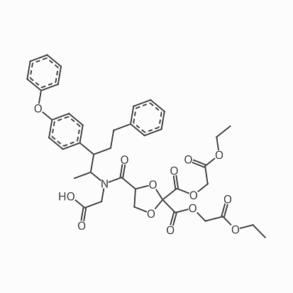 CCOC(=O)COC(=O)C1(C(=O)OCC(=O)OCC)OCC(C(=O)N(CC(=O)O)C(C)C(CCc2ccccc2)c2ccc(Oc3ccccc3)cc2)O1